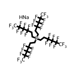 FC(F)(F)C(F)(F)C(F)(F)C(F)(F)CC[B-](CCC(F)(F)C(F)(F)C(F)(F)C(F)(F)F)(CCC(F)(F)C(F)(F)C(F)(F)C(F)(F)F)CCC(F)(F)C(F)(F)C(F)(F)C(F)(F)F.[NaH]